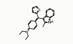 CC[N+](CC)=C1C=CC(=C(c2cccs2)c2c(C)[nH]c3ccccc23)C=C1